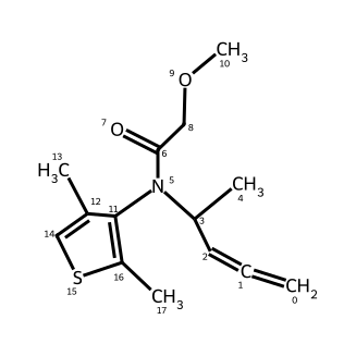 C=C=CC(C)N(C(=O)COC)c1c(C)csc1C